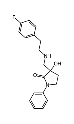 O=C1N(c2ccccc2)CCC1(O)CNCCc1ccc(F)cc1